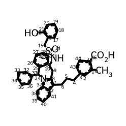 Cc1cc(CCCc2c(CCNS(=O)(=O)Cc3ccccc3O)n(C(c3ccccc3)c3ccccc3)c3ccccc23)ccc1C(=O)O